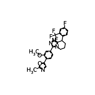 COc1cc(-c2nnc3n2CCCC3c2ccc(F)cc2C(F)(F)F)ccc1-c1cnc(C)o1